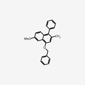 COc1ccc2c(-c3ccccc3)c(C)cc(OCc3ccccc3)c2c1